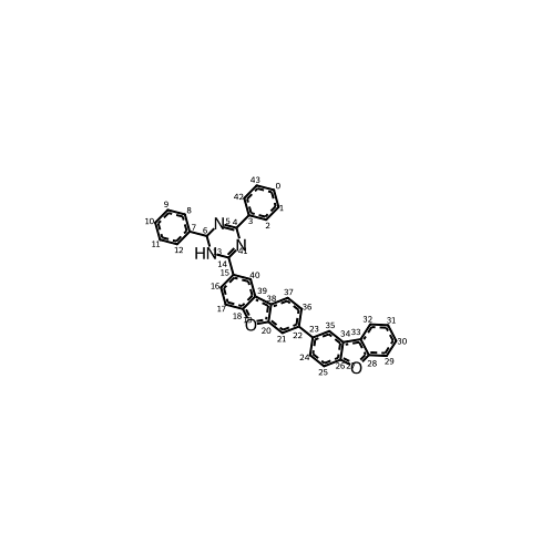 c1ccc(C2=NC(c3ccccc3)NC(c3ccc4oc5cc(-c6ccc7oc8ccccc8c7c6)ccc5c4c3)=N2)cc1